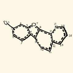 Clc1ccc2c(c1)oc1c2ccc2cccnc21